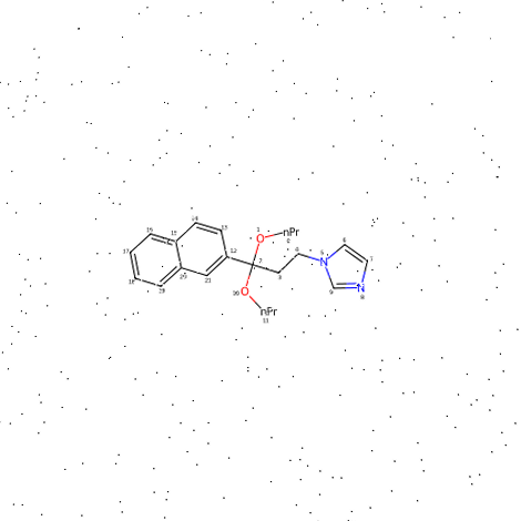 CCCOC(CCn1ccnc1)(OCCC)c1ccc2ccccc2c1